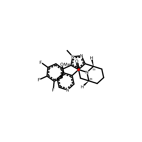 COc1ccncc1C(=O)N1[C@@H]2CCC[C@H]1c1nn(C)c(-c3cc(F)c(F)c(F)c3)c1C2